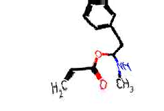 C=CC(=O)OC(Cc1ccccc1)NC